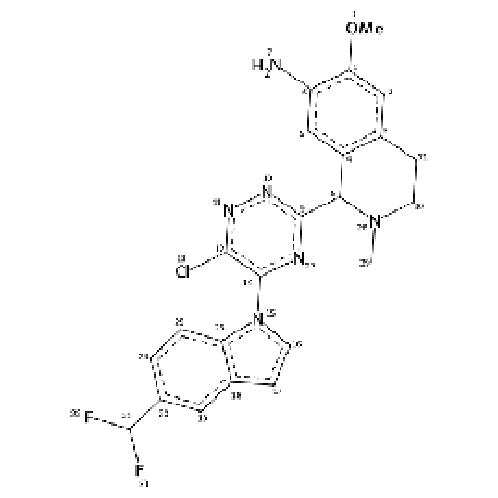 COc1cc2c(cc1N)C(c1nnc(Cl)c(-n3ccc4cc(C(F)F)ccc43)n1)N(C)CC2